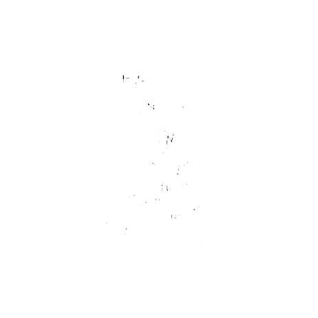 Cc1cccc(/C=N/C2CCN(C(c3ccccc3)c3ccccc3)CC2)n1